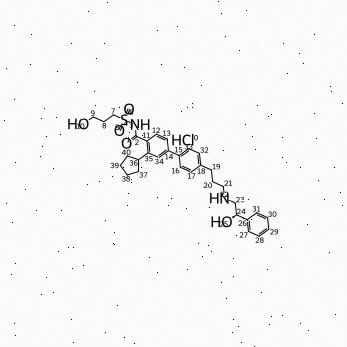 Cl.O=C(NS(=O)(=O)CCCO)c1ccc(-c2ccc(CCCNC[C@H](O)c3ccccc3)cc2)cc1C1CCCC1